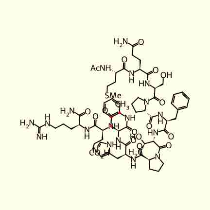 CSCC[C@H](NC(C)=O)C(=O)N[C@@H](CCC(N)=O)C(=O)N[C@@H](CO)C(=O)N1CCC[C@H]1C(=O)N[C@@H](Cc1ccccc1)C(=O)N[C@H](C(=O)N1CCC[C@H]1C(=O)N[C@@H](Cc1cnc[nH]1)C(=O)N[C@@H](Cc1ccccc1)C(=O)N[C@@H](C)C(=O)N[C@@H](CCC(=O)O)C(=O)N[C@@H](CCCNC(=N)N)C(N)=O)[C@@H](C)O